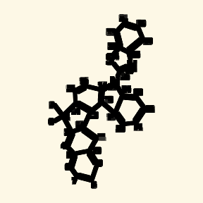 CC1(C)c2cc3ccccc3cc2-c2c1ccc1c2c2ccccc2n1-c1nc2ccccc2s1